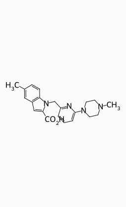 Cc1ccc2c(c1)cc(C(=O)O)n2Cc1cccc(N2CCN(C)CC2)n1